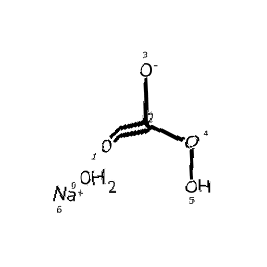 O.O=C([O-])OO.[Na+]